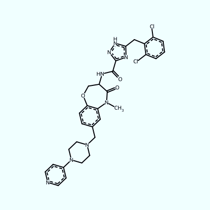 CN1C(=O)C(NC(=O)c2n[nH]c(Cc3c(Cl)cccc3Cl)n2)COc2ccc(CN3CCN(c4ccncc4)CC3)cc21